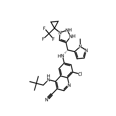 Cn1nccc1[C@H](Nc1cc(Cl)c2ncc(C#N)c(NCC(C)(C)C)c2c1)C1=CN(C2(C(F)(F)F)CC2)NN1